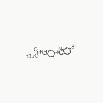 CC(C)(C)OC(=O)NCC1CCC(n2cc3ccc(Br)cc3n2)CC1